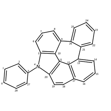 c1ccc(-n2c3cccc4c3c3c5c(cccc5ccc32)-c2ccccc2-4)cc1